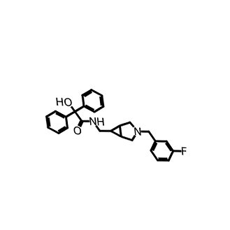 O=C(NCC1C2CN(Cc3cccc(F)c3)CC12)C(O)(c1ccccc1)c1ccccc1